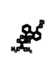 CCOCc1ccccc1-c1ccccc1S(=O)(=O)NC(=O)N(C)C